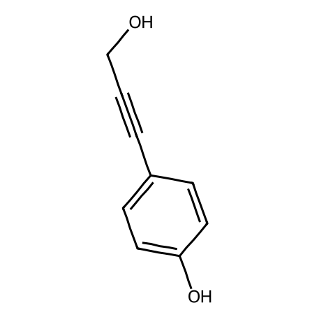 OCC#Cc1ccc(O)cc1